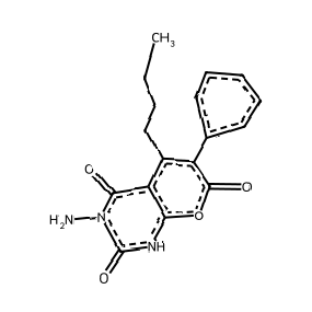 CCCCc1c(-c2ccccc2)c(=O)oc2[nH]c(=O)n(N)c(=O)c12